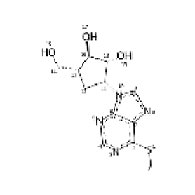 CSc1ncnc2c1ncn2[C@@H]1C[C@H](CO)[C@@H](O)[C@@H]1O